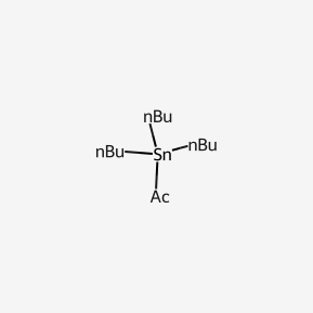 CCC[CH2][Sn]([CH2]CCC)([CH2]CCC)[C](C)=O